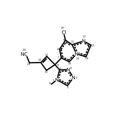 Cn1cnnc1C1(c2cc(Cl)c3nccn3c2)C=C(CC#N)C1